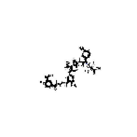 CC(C)(O/N=C(\C(=O)N[C@@H]1C(=O)N2C(C(=O)O)=C(C[n+]3cnc(N)c(NCCNC(=O)c4ccc(O)c(C(=O)O)c4)c3)CSC12)C1=CSC(N)=CC=C1)C(=O)O